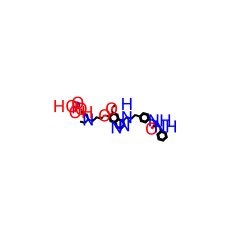 CCN(CCCOc1cc2ncnc(NCCc3ccc(NC(=O)Nc4ccccc4)cc3)c2cc1OC)CCOP(=O)(O)O